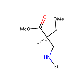 CCNC[C@](C)(COC)C(=O)OC